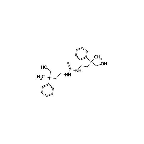 CC(CO)(CCNC(=S)NCCC(C)(CO)c1ccccc1)c1ccccc1